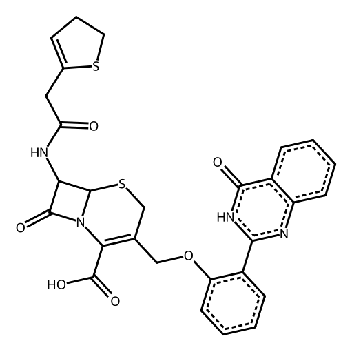 O=C(CC1=CCCS1)NC1C(=O)N2C(C(=O)O)=C(COc3ccccc3-c3nc4ccccc4c(=O)[nH]3)CSC12